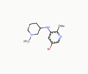 COc1ncc(Br)cc1NC1CCCN(C(=O)O)C1